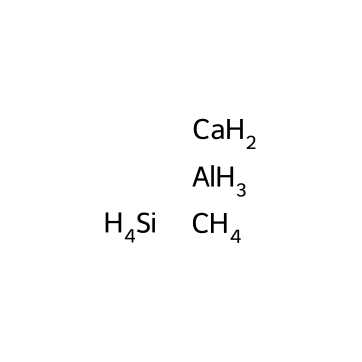 C.[AlH3].[CaH2].[SiH4]